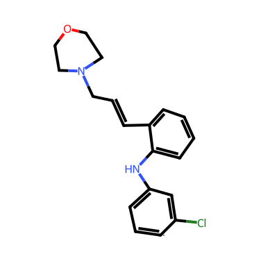 Clc1[c]ccc(Nc2ccccc2/C=C/CN2CCOCC2)c1